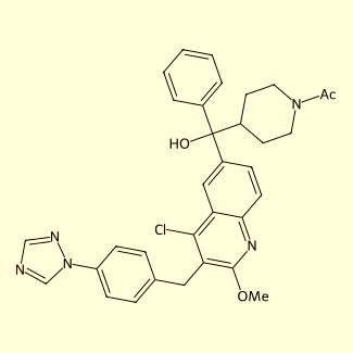 COc1nc2ccc(C(O)(c3ccccc3)C3CCN(C(C)=O)CC3)cc2c(Cl)c1Cc1ccc(-n2cncn2)cc1